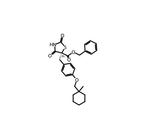 CC1(COc2ccc(C[C@@]3(C(=O)OCc4ccccc4)SC(=O)NC3=O)cc2)CCCCC1